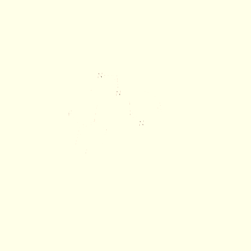 Fc1ccccc1-c1cncn1-c1cccnc1